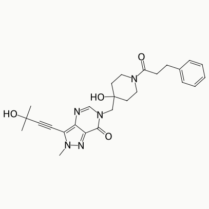 Cn1nc2c(=O)n(CC3(O)CCN(C(=O)CCc4ccccc4)CC3)cnc2c1C#CC(C)(C)O